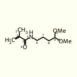 C=C(C)C(=O)NCCCC(OC)OC